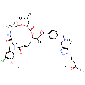 COc1ccc(C[C@H]2NC(=O)/C=C/C[C@@H]([C@H](C)[C@H]3O[C@@H]3c3ccc(CN(C)Cc4cn(CCCC(C)=O)nn4)cc3)OC(=O)[C@H](CC(C)C)OC(=O)C(C)(C)CNC2=O)cc1Cl